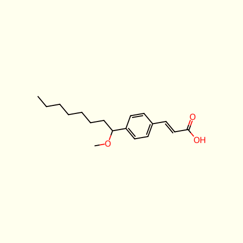 CCCCCCCC(OC)c1ccc(C=CC(=O)O)cc1